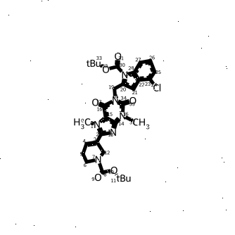 Cn1c(C2=CCCN(C(=O)OC(C)(C)C)C2)nc2c1c(=O)n(Cc1cc3c(Cl)cccc3n1C(=O)OC(C)(C)C)c(=O)n2C